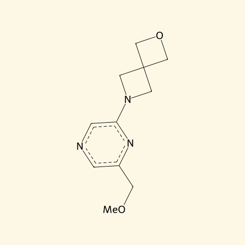 COCc1cncc(N2CC3(COC3)C2)n1